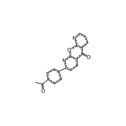 CC(=O)c1ccc(-c2ccc3c(=O)c4cccnc4oc3n2)cc1